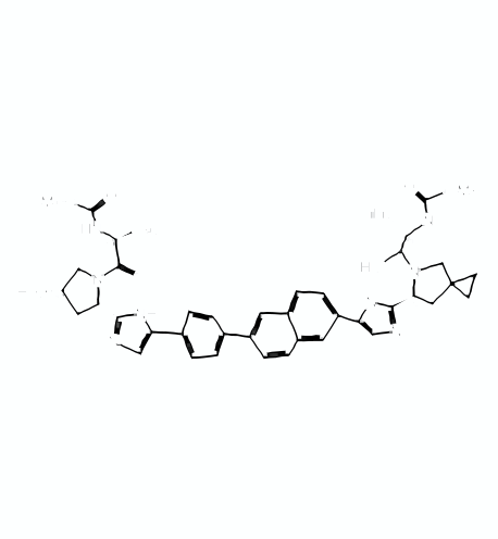 COC(=O)N[C@@H](C(C)C)C(O)N1CC2(CC2)C[C@H]1c1ncc(-c2ccc3cc(-c4ccc(-c5cnc([C@@H]6C[C@H](C)CN6C(=O)[C@@H](NC(=O)OC)C(C)(C)C)[nH]5)cc4)ccc3c2)[nH]1